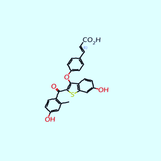 Cc1cc(O)ccc1C(=O)c1sc2cc(O)ccc2c1Oc1ccc(/C=C/C(=O)O)cc1